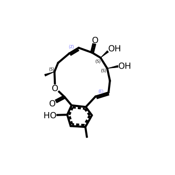 Cc1cc(O)c2c(c1)/C=C/C[C@H](O)[C@H](O)C(=O)/C=C\C[C@H](C)OC2=O